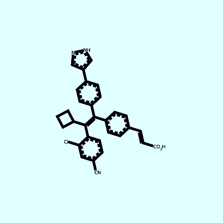 N#Cc1ccc(/C(=C(\c2ccc(C=CC(=O)O)cc2)c2ccc(-c3cn[nH]c3)cc2)C2CCC2)c(Cl)c1